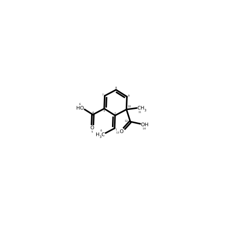 CC=C1C(C(=O)O)=CC=CC1(C)C(=O)O